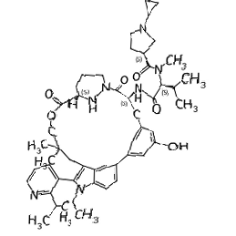 CCn1c(-c2cccnc2C(C)C)c2c3cc(ccc31)-c1cc(O)cc(c1)C[C@H](NC(=O)[C@H](C(C)C)N(C)C(=O)[C@H]1CCN(C3CC3)C1)C(=O)N1CCC[C@H](N1)C(=O)OCC(C)(C)C2